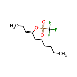 CCC=C(CCCCCC)OS(=O)(=O)C(F)(F)F